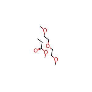 CCC(=O)OC.COCCOCCOC